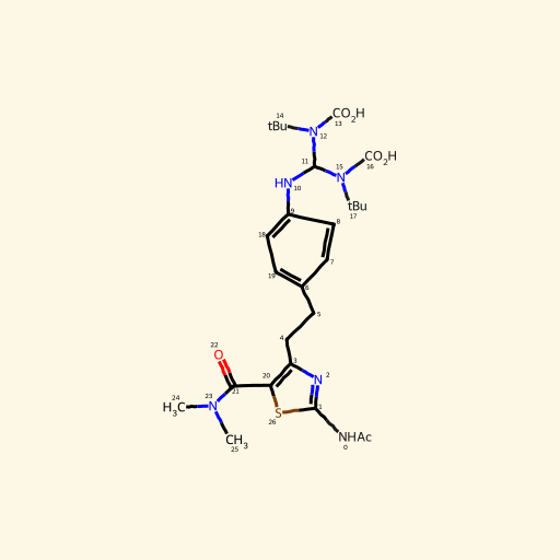 CC(=O)Nc1nc(CCc2ccc(NC(N(C(=O)O)C(C)(C)C)N(C(=O)O)C(C)(C)C)cc2)c(C(=O)N(C)C)s1